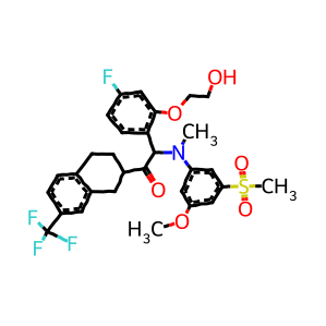 COc1cc(N(C)C(C(=O)C2CCc3ccc(C(F)(F)F)cc3C2)c2ccc(F)cc2OCCO)cc(S(C)(=O)=O)c1